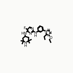 CCON1N=NN(c2cccc(Nc3ncc(F)c(NC4CC(C)(C)NC(C)(C)C4)n3)c2)C1CC